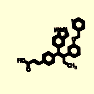 CCC(=C(c1ccc(C=CC(=O)O)cc1)c1ccc2[nH]ncc2c1)c1cccc(OCc2cccnc2)c1